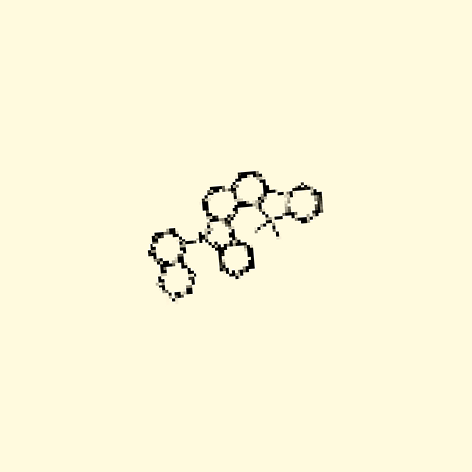 CC1(C)c2ccccc2-c2ccc3ccc4c(c5ccccc5n4-c4cccc5cnccc45)c3c21